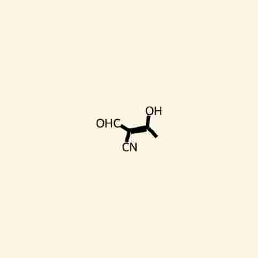 C/C(O)=C(\C#N)C=O